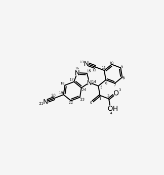 C=C(C(=O)O)C(c1ccccc1C#N)n1cnc2cc(C#N)ccc21